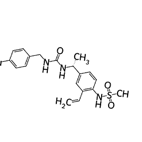 C=Cc1cc([C@@H](C)NC(=O)NCc2ccc(C(C)(C)C)cc2)ccc1NS(C)(=O)=O